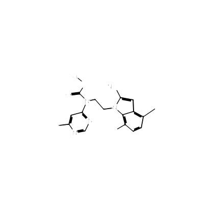 Cc1ccc(F)c2c1cc(C#N)n2CCN(C(=O)OC(C)(C)C)c1cc(Cl)ncn1